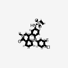 C=CS(=O)(=O)Nc1ccc(Nc2ccc(Cl)c(F)c2)c(-c2cn(C)c(=O)c3ccccc23)c1